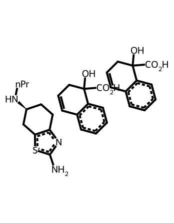 CCCN[C@H]1CCc2nc(N)sc2C1.O=C(O)C1(O)CC=Cc2ccccc21.O=C(O)C1(O)CC=Cc2ccccc21